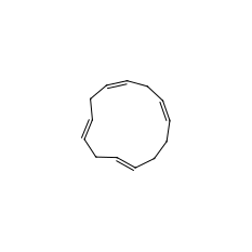 C1=C\C/C=C/C/C=C/CC/C=C\C/1